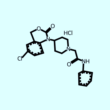 Cl.O=C(CN1CCC(N2C(=O)OCc3cc(Cl)ccc32)CC1)Nc1ccccc1